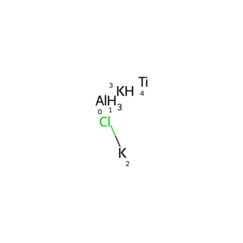 [AlH3].[Cl][K].[KH].[Ti]